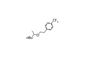 [CH2]C(CCCC)OCCc1ccc(C(F)(F)F)cc1